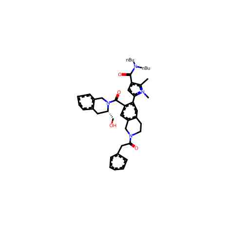 CCCCN(CCCC)C(=O)c1cc(-c2cc3c(cc2C(=O)N2Cc4ccccc4C[C@H]2CO)CN(C(=O)Cc2ccccc2)CC3)n(C)c1C